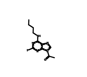 CCCCNc1nc(F)nc2c1ncn2C(C)=O